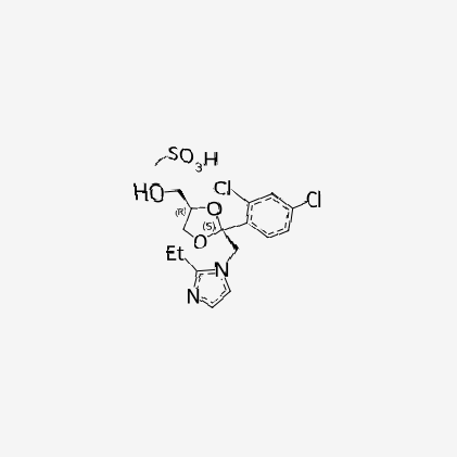 CCc1nccn1C[C@@]1(c2ccc(Cl)cc2Cl)OC[C@@H](CO)O1.CS(=O)(=O)O